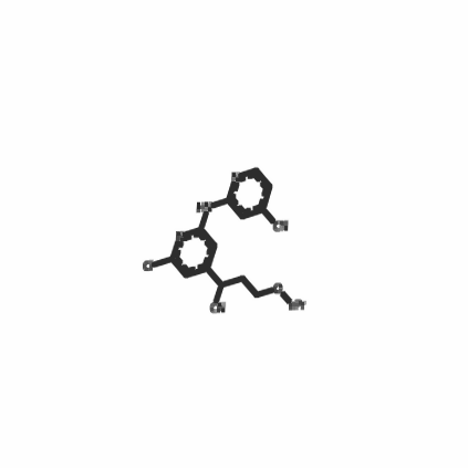 CCCOCCC(C#N)c1cc(Cl)nc(Nc2cc(C#N)ccn2)c1